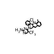 Cc1cccc2cc(CNc3nc(N)ncc3C(F)(F)F)c(-c3ccccc3Cl)nc12